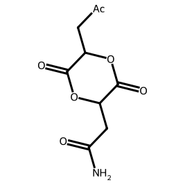 CC(=O)CC1OC(=O)C(CC(N)=O)OC1=O